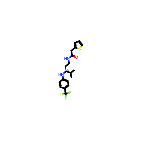 CC(C)[C@H](CCNC(=O)Cc1cccs1)Nc1ccc(C(F)(F)F)cc1